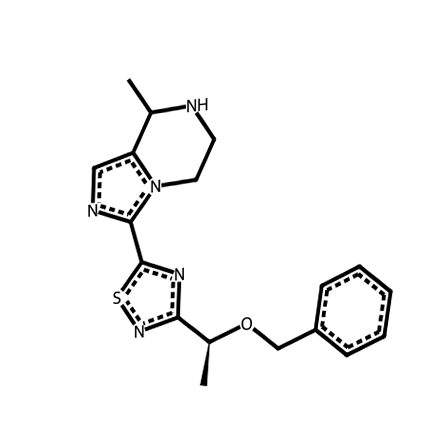 CC1NCCn2c1cnc2-c1nc([C@H](C)OCc2ccccc2)ns1